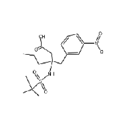 CCCC(CC(=O)O)(Cc1cccc([N+](=O)[O-])c1)NS(=O)(=O)C(C)(C)C